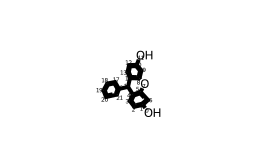 Oc1ccc2c(c1)Oc1cc(O)ccc1C2c1ccccc1